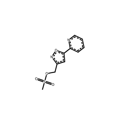 CS(=O)(=O)OCc1cc(-c2ccccn2)on1